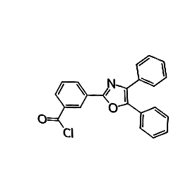 O=C(Cl)c1cccc(-c2nc(-c3ccccc3)c(-c3ccccc3)o2)c1